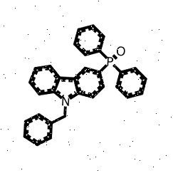 O=P(c1ccccc1)(c1ccccc1)c1ccc2c(c1)c1ccccc1n2Cc1ccccc1